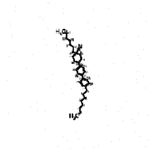 CCCCCCCCc1ccc(-c2ccc(C3CCC(C#N)(CCCCCCC)CC3)cc2)cc1